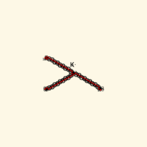 [K].c1ccc(COCCOCCOCCOCCOCCOCCOCCOCCOCc2cc(COCCOCCOCCOCCOCCOCCOCCOCCOCc3ccccc3)cc(COCCOCCOCCOCCOCCOCCOCCOCCOCc3ccccc3)c2)cc1